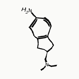 CN(C)[C@@H]1Cc2ccc(N)cc2C1